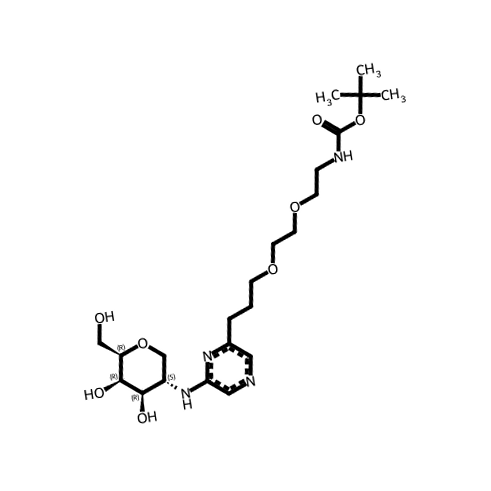 CC(C)(C)OC(=O)NCCOCCOCCCc1cncc(N[C@H]2CO[C@H](CO)[C@H](O)[C@@H]2O)n1